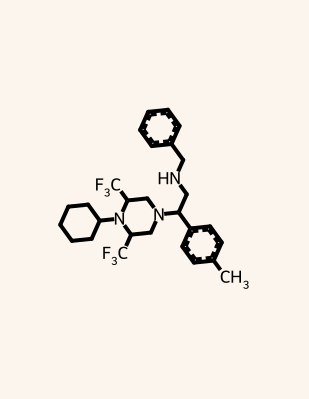 Cc1ccc(C(CNCc2ccccc2)N2CC(C(F)(F)F)N(C3CCCCC3)C(C(F)(F)F)C2)cc1